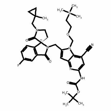 CC1(CN2CC[C@@]3(C2=O)c2ccc(F)cc2C(=O)N3Cc2cc3nc(NC(=O)OC(C)(C)C)cc(C#N)c3n2COCC[Si](C)(C)C)CC1